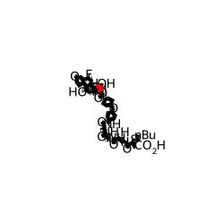 CCCCC(C)SC(CC(=O)O)C(=O)NCCC(=O)N[C@@H](C)C(=O)N[C@@H](C)C(=O)Nc1ccc(Oc2ccc([C@@H]3O[C@@H]4CC5[C@@H]6C[C@H](F)C7=CC(=O)C=C[C@]7(C)[C@@]6(F)[C@@H](O)C[C@]5(C)[C@]4(C(=O)CO)O3)cc2)cc1